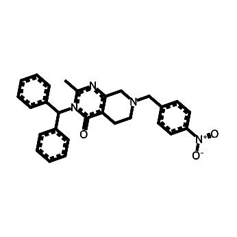 Cc1nc2c(c(=O)n1C(c1ccccc1)c1ccccc1)CCN(Cc1ccc([N+](=O)[O-])cc1)C2